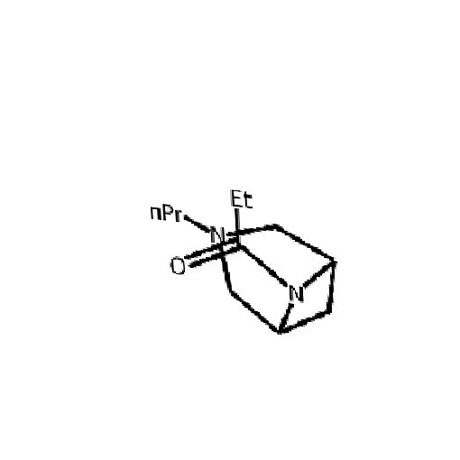 CCCN1CC2CC(C1)N2C(=O)CC